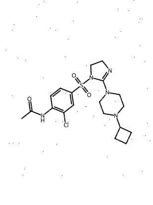 CC(=O)Nc1ccc(S(=O)(=O)N2CCN=C2N2CCN(C3CCC3)CC2)cc1Cl